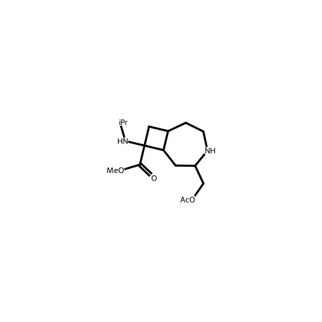 COC(=O)C1(NC(C)C)CC2CCNC(COC(C)=O)CC21